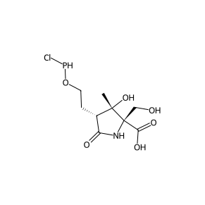 C[C@]1(O)[C@@H](CCOPCl)C(=O)N[C@@]1(CO)C(=O)O